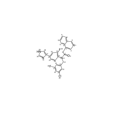 O=C(Cc1cncc2ccccc12)N(Cc1cc(F)cc(Cl)c1)c1ccc(-c2c[nH]cn2)cc1F